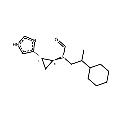 CC(CN(C=O)[C@H]1C[C@@H]1c1c[nH]cn1)C1CCCCC1